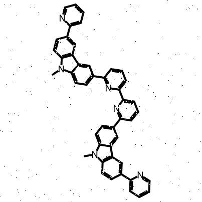 Cn1c2ccc(-c3ccccn3)cc2c2cc(-c3cccc(-c4cccc(-c5ccc6c(c5)c5cc(-c7ccccn7)ccc5n6C)n4)n3)ccc21